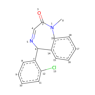 CN1C(=O)C=NC(c2ccccc2Cl)c2ccccc21